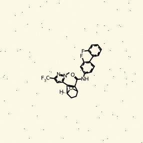 Cn1nc(C(F)(F)F)cc1C1=C(C(=O)Nc2ccc(-c3ccccc3F)c(F)c2)C2CC[C@@H]1O2